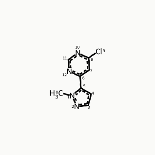 Cn1nccc1-c1cc(Cl)ncn1